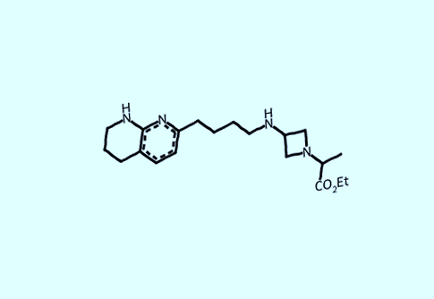 CCOC(=O)C(C)N1CC(NCCCCc2ccc3c(n2)NCCC3)C1